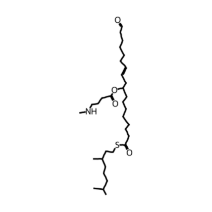 CNCCCC(=O)OC(C/C=C/CCCCCC=O)CCCCCCCC(=O)SCCC(C)CCCC(C)C